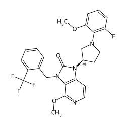 COc1cccc(F)c1N1CC[C@@H](n2c(=O)n(Cc3ccccc3C(F)(F)F)c3c(OC)nccc32)C1